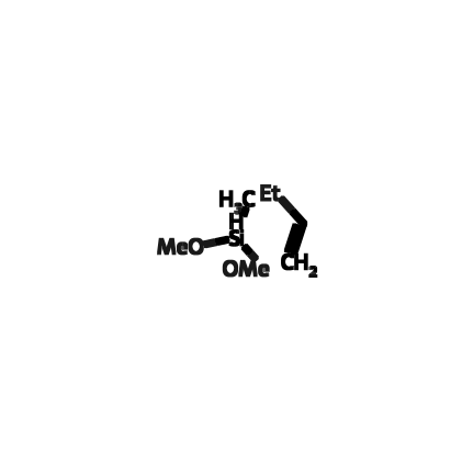 C=CCC.CO[SiH](C)OC